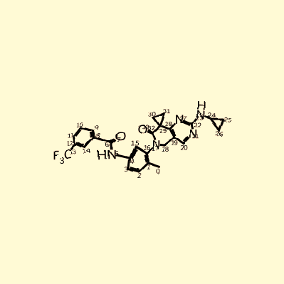 Cc1ccc(NC(=O)c2cccc(C(F)(F)F)c2)cc1N1Cc2cnc(NC3CC3)nc2C2(CC2)C1=O